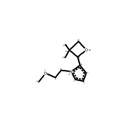 COCCn1cccc1C1OCC1(C)C